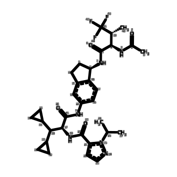 CC(=O)N[C@@H](C(=O)N[C@@H]1CCc2cc(NC(=O)[C@@H](NC(=O)c3ccnn3C(C)C)C(C3CC3)C3CC3)ccc21)[C@@H](C)C(F)(F)F